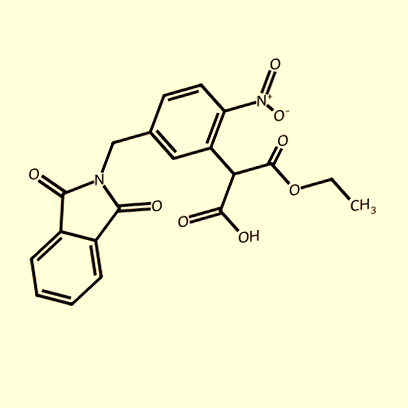 CCOC(=O)C(C(=O)O)c1cc(CN2C(=O)c3ccccc3C2=O)ccc1[N+](=O)[O-]